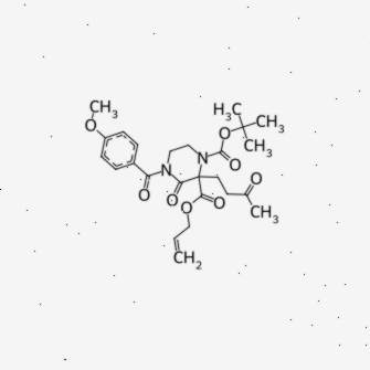 C=CCOC(=O)C1(CCC(C)=O)C(=O)N(C(=O)c2ccc(OC)cc2)CCN1C(=O)OC(C)(C)C